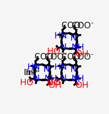 CC1=C(CCC(=O)[O-])c2cc3[nH]c(cc4nc(cc5[nH]c(cc1n2)c(C)c5C(C)O)C(C)=C4C(C)O)c(C)c3CCC(=O)[O-].CC1=C(CCC(=O)[O-])c2cc3[nH]c(cc4nc(cc5[nH]c(cc1n2)c(C)c5C(C)O)C(C)=C4C(C)O)c(C)c3CCC(=O)[O-].CC1=C(CCC(=O)[O-])c2cc3[nH]c(cc4nc(cc5[nH]c(cc1n2)c(C)c5C(C)O)C(C)=C4C(C)O)c(C)c3CCC(=O)[O-].[In+3].[In+3]